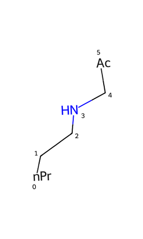 CCCCCNCC(C)=O